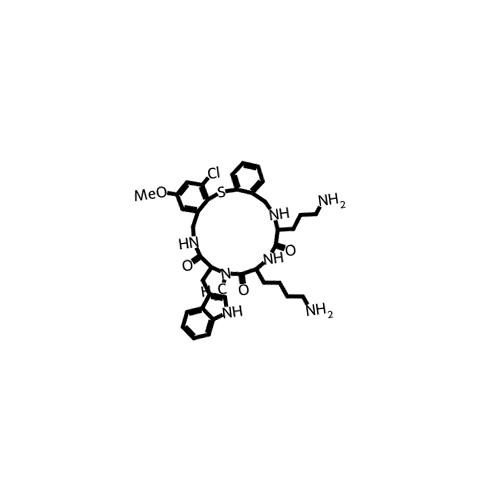 COc1cc(Cl)c2c(c1)CNC(=O)C(Cc1c[nH]c3ccccc13)N(C)C(=O)C(CCCCN)NC(=O)C(CCCN)NCc1ccccc1S2